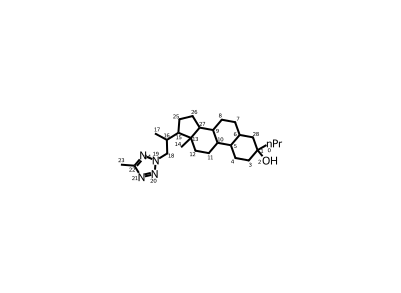 CCCC1(O)CCC2C(CCC3C2CCC2(C)C(C(C)Cn4nnc(C)n4)CCC32)C1